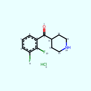 Cl.O=C(c1cccc(F)c1F)C1CCNCC1